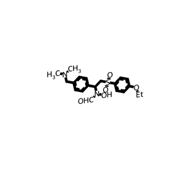 CCOc1ccc(S(=O)(=O)CC(c2ccc(CN(C)C)cc2)N(O)C=O)cc1